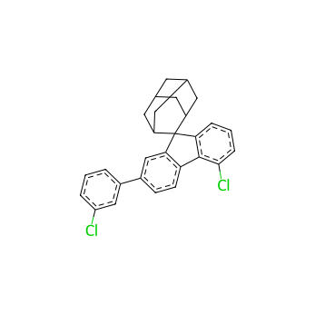 Clc1cccc(-c2ccc3c(c2)C2(c4cccc(Cl)c4-3)C3CC4CC(C3)CC2C4)c1